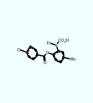 CCOC(=O)N(CC)c1cc(C(C)(C)C)ccc1OC(=O)c1ccc(Cl)cc1